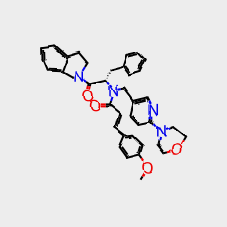 COc1ccc(C=CC(=O)N(Cc2ccc(N3CCOCC3)nc2)[C@@H](Cc2ccccc2)C(=O)N2CCc3ccccc3C2)cc1